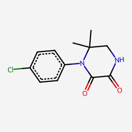 CC1(C)CNC(=O)C(=O)N1c1ccc(Cl)cc1